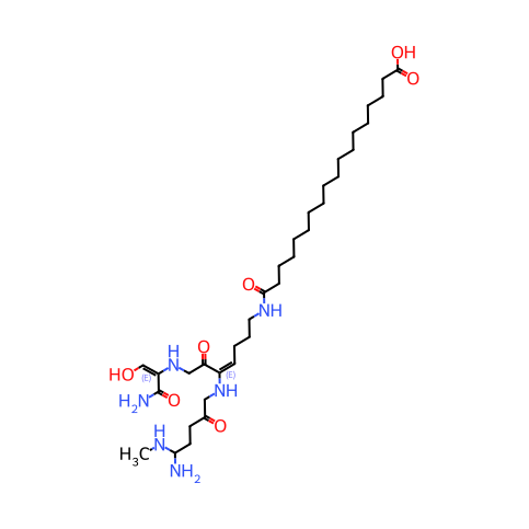 CNC(N)CCC(=O)CN/C(=C/CCCNC(=O)CCCCCCCCCCCCCCCCC(=O)O)C(=O)CN/C(=C/O)C(N)=O